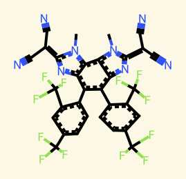 Cn1c(=C(C#N)C#N)nc2c(-c3ccc(C(F)(F)F)cc3C(F)(F)F)c(-c3ccc(C(F)(F)F)cc3C(F)(F)F)c3nc(=C(C#N)C#N)n(C)c3c21